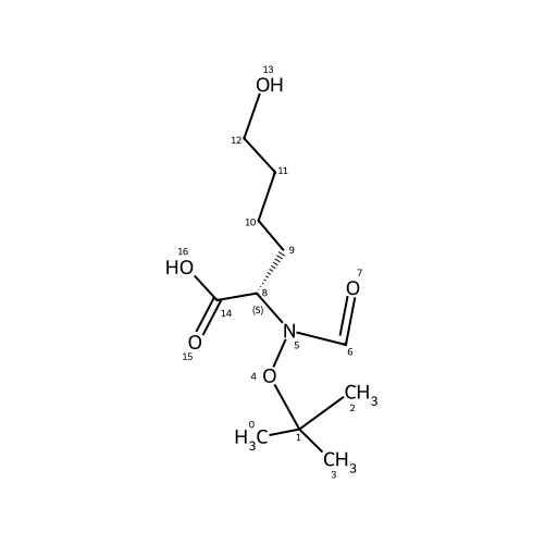 CC(C)(C)ON(C=O)[C@@H](CCCCO)C(=O)O